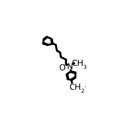 [CH2]c1ccc(N(C)C(=O)CCCCCc2ccccc2)cc1